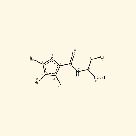 CCOC(=O)C(CO)NC(=O)c1sc(Br)c(Br)c1C